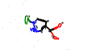 O=C(O)C1=CNN(Cl)C=C1